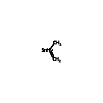 C=CC.[SnH2]